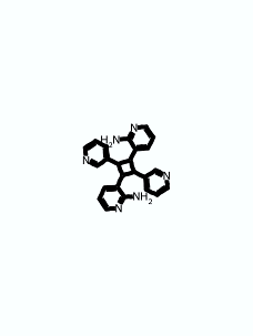 Nc1ncccc1C1C(c2cccnc2)C(c2cccnc2N)C1c1cccnc1